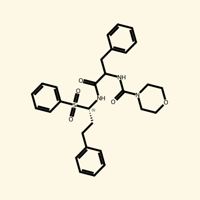 O=C(N[C@H](CCc1ccccc1)S(=O)(=O)c1ccccc1)C(Cc1ccccc1)NC(=O)N1CCOCC1